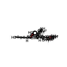 CCN(C(=O)CN)C1COC(OC2C(O[C@H]3C#C/C=C\C#C[C@]4(O)CC(=O)C(NC(=O)OC)=C3/C4=C\CSSC(C)(C)CC(=O)NCCOCCOCCOCCO)OC(C)C(NOC3CC(O)C(SC(=O)c4c(C)c(I)c(OC5OC(C)C(O)C(OC)C5O)c(OC)c4OC)C(C)O3)C2O)CC1OC